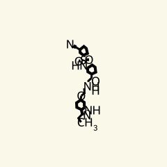 CCc1n[nH]c2cc(OCCNCC(O)c3cccc(NS(=O)(=O)c4cccc(C#N)c4)c3)ccc12